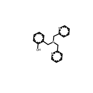 Oc1ccccc1CN(Cc1ccccn1)Cc1ccccn1